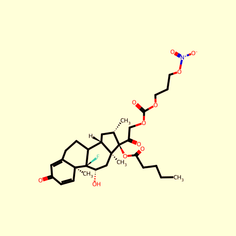 CCCCC(=O)O[C@]1(C(=O)COC(=O)OCCCO[N+](=O)[O-])[C@@H](C)C[C@H]2C3CCC4=CC(=O)C=C[C@]4(C)[C@@]3(F)[C@@H](O)C[C@@]21C